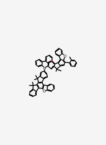 Cc1ccccc1-c1cc2c(c3c1oc1ccccc13)-c1ccc(N(c3ccc4c(c3)C(C)(C)c3c5c(c6oc7ccccc7c6c3-4)-c3ccccc3C5(C)C)c3ccccc3-c3ccccc3)cc1C2(C)C